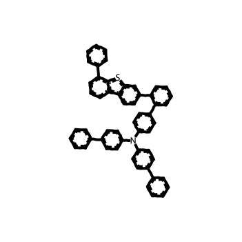 c1ccc(-c2ccc(N(c3ccc(-c4ccccc4)cc3)c3ccc(-c4ccccc4-c4ccc5c(c4)sc4c(-c6ccccc6)cccc45)cc3)cc2)cc1